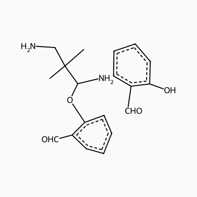 CC(C)(CN)C(N)Oc1ccccc1C=O.O=Cc1ccccc1O